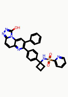 O=S(=O)(NC1(c2ccc(-c3nc4ccc5nnc(O)n5c4cc3-c3ccccc3)cc2)CCC1)c1ccccn1